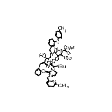 CCC(C)C(C(=O)NC(Cc1ccccc1)C(O)CN(Cc1cccc(Oc2ccc(C)cc2)c1)NC(=O)C(NC(=O)OC)C(C)(C)C)N1CCN(Cc2cccc(C)n2)C1=O